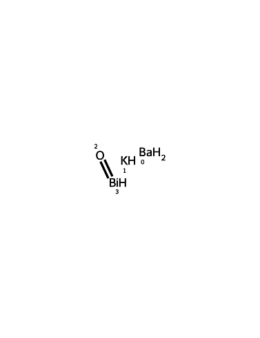 [BaH2].[KH].[O]=[BiH]